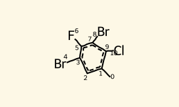 Cc1cc(Br)c(F)c(Br)c1Cl